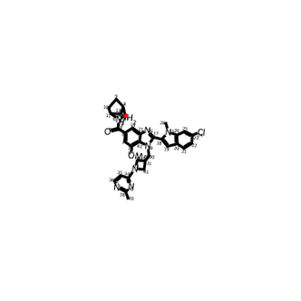 COc1cc(C(=O)N2CC3CCC2[C@@H]3N)cc2nc(-c3cc4ccc(Cl)cc4n3C)n(CC3CN(c4ccnc(C)n4)C3)c12